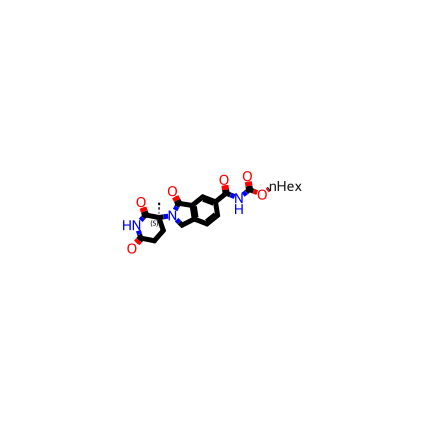 CCCCCCOC(=O)NC(=O)c1ccc2c(c1)C(=O)N([C@@]1(C)CCC(=O)NC1=O)C2